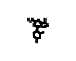 CC1CNCCN1c1nc(N)nc2[nH]ncc12